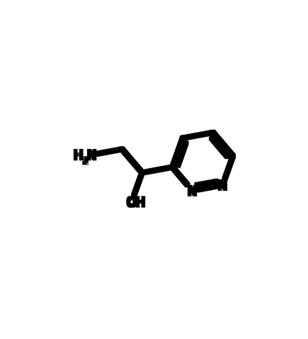 NCC(O)c1cccnn1